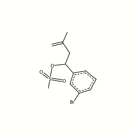 C=C(C)CC(OS(C)(=O)=O)c1cccc(Br)c1